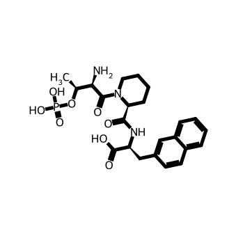 C[C@H](OP(=O)(O)O)[C@@H](N)C(=O)N1CCCC[C@H]1C(=O)N[C@@H](Cc1ccc2ccccc2c1)C(=O)O